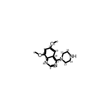 COc1cc(OC)c2ncnc(N3CCNCC3)c2c1